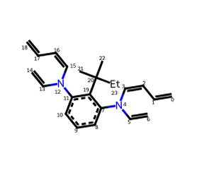 C=C/C=C\N(C=C)c1cccc(N(C=C)/C=C\C=C)c1C(C)(C)CC